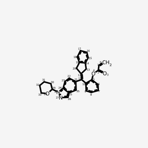 C=CC(=O)Oc1ccccc1C(=C1Cc2ccccc2C1)c1ccc2c(cnn2C2CCCCO2)c1